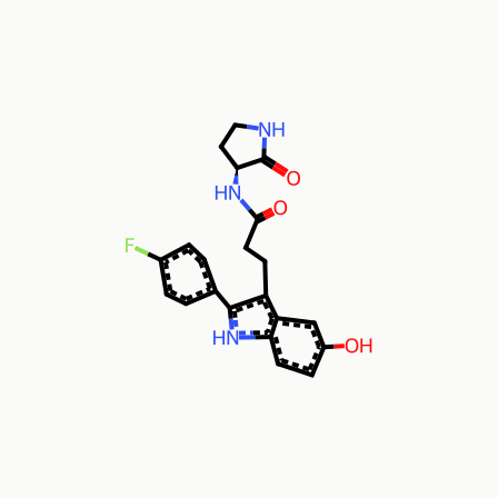 O=C(CCc1c(-c2ccc(F)cc2)[nH]c2ccc(O)cc12)N[C@H]1CCNC1=O